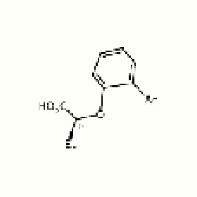 CC[C@H](Oc1ccccc1C(C)=O)C(=O)O